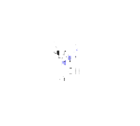 CC\C=C/C=C(CO)/C(N)=N/C(=N\C(C)c1ccc(OCCCC)cc1O)c1ccc(OCCCC)cc1